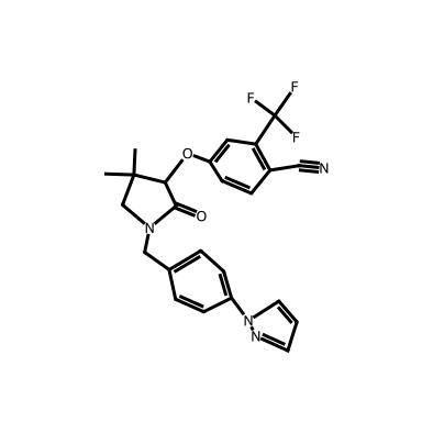 CC1(C)CN(Cc2ccc(-n3cccn3)cc2)C(=O)C1Oc1ccc(C#N)c(C(F)(F)F)c1